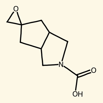 O=C(O)N1CC2CC3(CO3)CC2C1